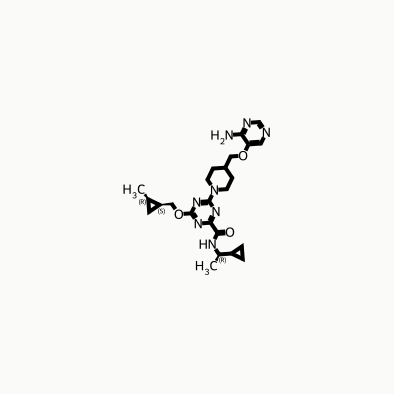 C[C@@H]1C[C@@H]1COc1nc(C(=O)N[C@H](C)C2CC2)nc(N2CCC(COc3cncnc3N)CC2)n1